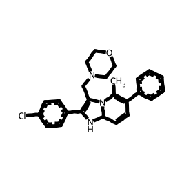 CC1=C(c2ccccc2)C=CC2NC(c3ccc(Cl)cc3)=C(CN3CCOCC3)N12